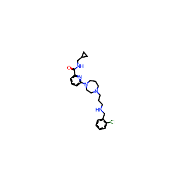 O=C(NCC1CC1)c1cccc(N2CCCN(CCCNCc3ccccc3Cl)CC2)n1